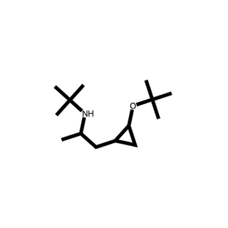 CC(CC1CC1OC(C)(C)C)NC(C)(C)C